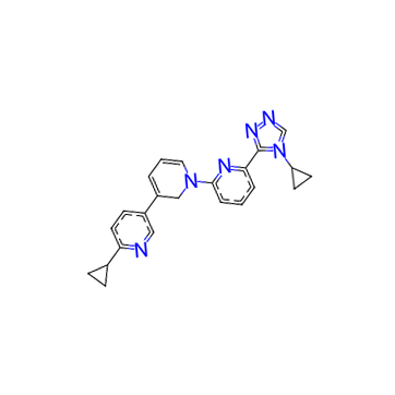 C1=CN(c2cccc(-c3nncn3C3CC3)n2)CC(c2ccc(C3CC3)nc2)=C1